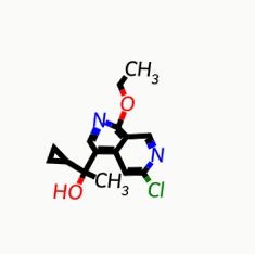 CCOc1ncc(C(C)(O)C2CC2)c2cc(Cl)ncc12